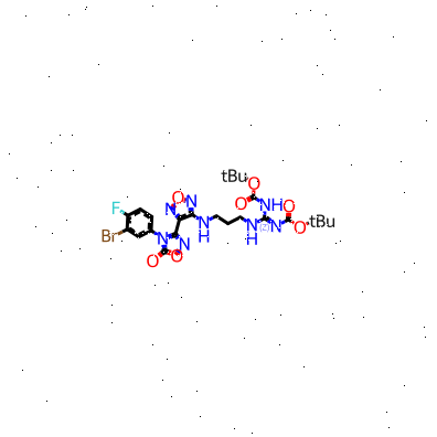 CC(C)(C)OC(=O)/N=C(/NCCCNc1nonc1-c1noc(=O)n1-c1ccc(F)c(Br)c1)NC(=O)OC(C)(C)C